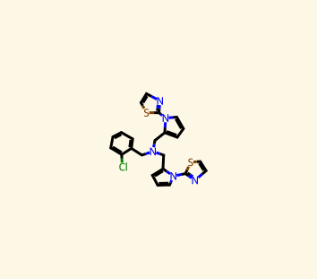 Clc1ccccc1CN(Cc1cccn1-c1nccs1)Cc1cccn1-c1nccs1